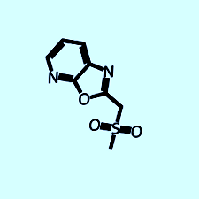 CS(=O)(=O)Cc1nc2cccnc2o1